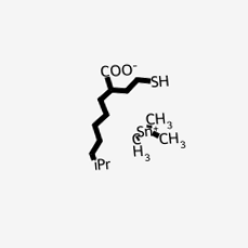 CC(C)CCCCCC(CCS)C(=O)[O-].[CH3][Sn+]([CH3])[CH3]